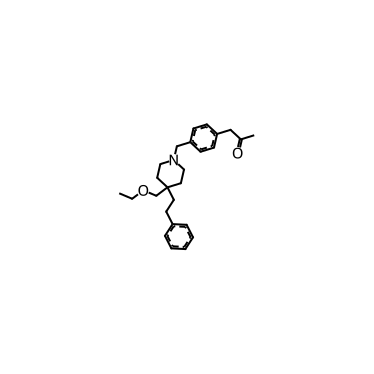 CCOCC1(CCc2ccccc2)CCN(Cc2ccc(CC(C)=O)cc2)CC1